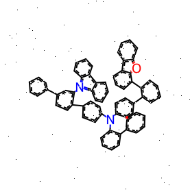 c1ccc(-c2ccc(-c3ccc(N(c4ccc(-c5ccccc5-c5cccc6c5oc5ccccc56)cc4)c4ccccc4-c4ccccc4)cc3)c(-n3c4ccccc4c4ccccc43)c2)cc1